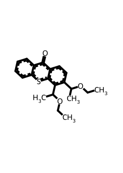 CCOC(C)c1ccc2c(=O)c3ccccc3sc2c1C(C)OCC